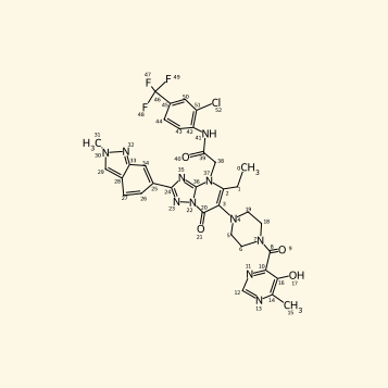 CCc1c(N2CCN(C(=O)c3ncnc(C)c3O)CC2)c(=O)n2nc(-c3ccc4cn(C)nc4c3)nc2n1CC(=O)Nc1ccc(C(F)(F)F)cc1Cl